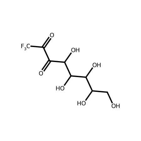 O=C(C(=O)C(F)(F)F)C(O)C(O)C(O)C(O)CO